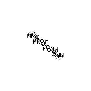 COC(=O)NC(C(=O)N1CCC[C@H]1c1nc2ccc3c(F)c(-c4ccc5c(ccc6nc([C@@H]7CCCN7C(=O)[C@@H](NC(=O)OC)C(C)C)[nH]c65)c4F)ccc3c2[nH]1)C(C)C